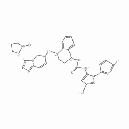 CCN1CCC[C@H]1c1nnc2n1CN(O[C@@H]1CC[C@H](NC(=O)Nc3cc(C(C)(C)C)nn3-c3ccc(C)cc3)c3ccccc31)C=C2